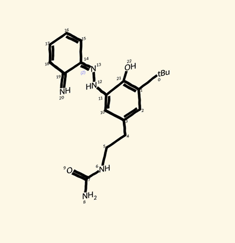 CC(C)(C)c1cc(CCNC(N)=O)cc(N/N=C2/C=CC=CC2=N)c1O